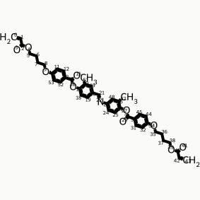 C=CC(=O)OCCCCOc1ccc(C(=O)Oc2ccc(/C=N/c3ccc(OC(=O)c4ccc(OCCCCOC(=O)C=C)cc4)c(C)c3)cc2C)cc1